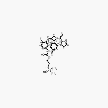 CC(C)(C)[Si](C)(C)OCCOC(=O)Nc1ncc(F)c(OC2CN(C(=O)N3N=CC[C@H]3c3cc(F)cc(F)c3)C2)n1